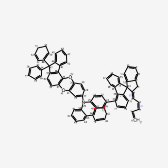 C=C/C=C\C=C1/Cc2ccccc2C12c1ccccc1-c1c(-c3ccc(N(c4ccc5c(c4)Oc4ccc6c(c4O5)-c4ccccc4C6(C4=CCCC=C4)c4ccccc4)c4ccccc4C4=CCCC=C4)cc3)cccc12